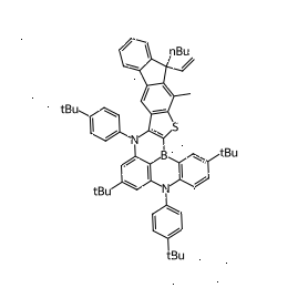 C=CC1(CCCC)c2ccccc2-c2cc3c4c(sc3c(C)c21)B1c2cc(C(C)(C)C)ccc2N(c2ccc(C(C)(C)C)cc2)c2cc(C(C)(C)C)cc(c21)N4c1ccc(C(C)(C)C)cc1